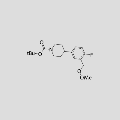 COOCc1cc(C2CCN(C(=O)OC(C)(C)C)CC2)ccc1F